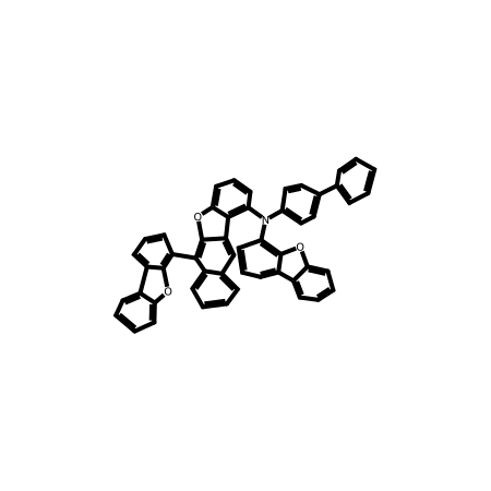 c1ccc(-c2ccc(N(c3cccc4c3oc3ccccc34)c3cccc4oc5c(-c6cccc7c6oc6ccccc67)c6ccccc6cc5c34)cc2)cc1